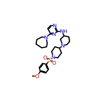 COc1ccc(S(=O)(=O)N2CCC(N3CCCC(Nc4nccc(N5CCCCCC5)n4)C3)CC2)cc1